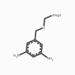 CCCCCCCCOCc1cc(N)cc(N)c1